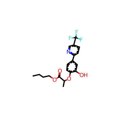 CCCCOC(=O)C(C)Oc1ccc(-c2ccc(C(F)(F)F)cn2)cc1O